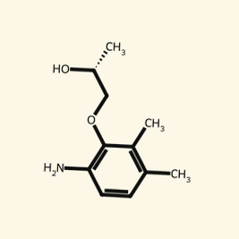 Cc1ccc(N)c(OC[C@@H](C)O)c1C